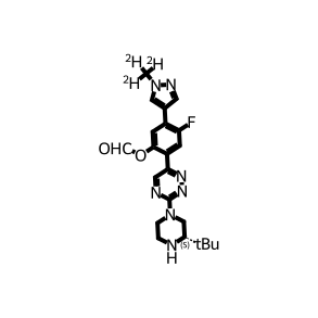 [2H]C([2H])([2H])n1cc(-c2cc(OC=O)c(-c3cnc(N4CCN[C@@H](C(C)(C)C)C4)nn3)cc2F)cn1